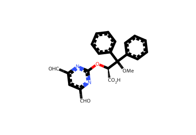 COC(c1ccccc1)(c1ccccc1)[C@H](Oc1nc(C=O)cc(C=O)n1)C(=O)O